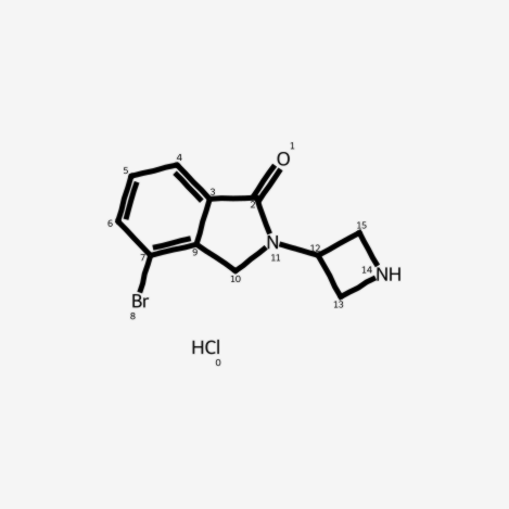 Cl.O=C1c2cccc(Br)c2CN1C1CNC1